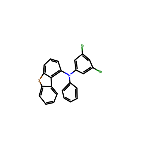 Brc1cc(Br)cc(N(c2ccccc2)c2cccc3sc4ccccc4c23)c1